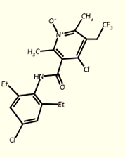 CCc1cc(Cl)cc(CC)c1NC(=O)c1c(Cl)c(CC(F)(F)F)c(C)[n+]([O-])c1C